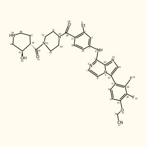 CCc1cc(Nc2nccn3c(-c4ccc(OCC#N)c(F)c4F)cnc23)ccc1C(=O)N1CCN(C(=O)[C@H]2CCNC[C@@H]2O)CC1